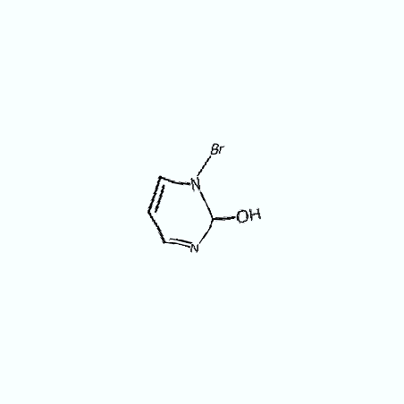 OC1N=CC=CN1Br